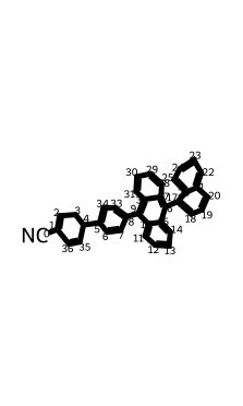 N#CC1=CCC(c2ccc(-c3c4ccccc4c(-c4cccc5ccccc45)c4ccccc34)cc2)C=C1